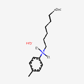 CCCCCCCCCCCCCCCC[N+](CC)(CC)c1ccc(C)cc1.[OH-]